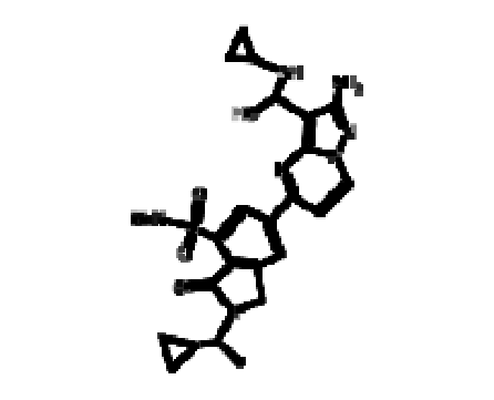 CNS(=O)(=O)c1cc(-c2ccn3nc(N)c(C(O)NC4CC4)c3n2)cc2c1C(=O)N([C@@H](C)C1CC1)C2